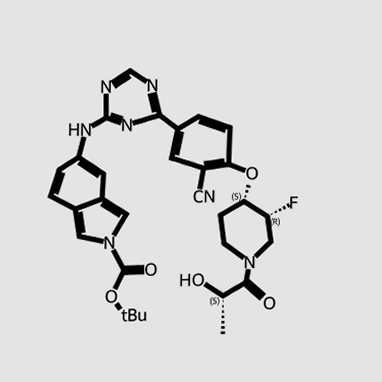 C[C@H](O)C(=O)N1CC[C@H](Oc2ccc(-c3ncnc(Nc4ccc5cn(C(=O)OC(C)(C)C)cc5c4)n3)cc2C#N)[C@H](F)C1